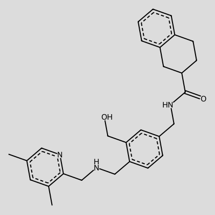 Cc1cnc(CNCc2ccc(CNC(=O)C3CCc4ccccc4C3)cc2CO)c(C)c1